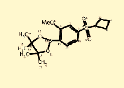 COc1cc(S(=O)(=O)C2CCC2)ccc1B1OC(C)(C)C(C)(C)O1